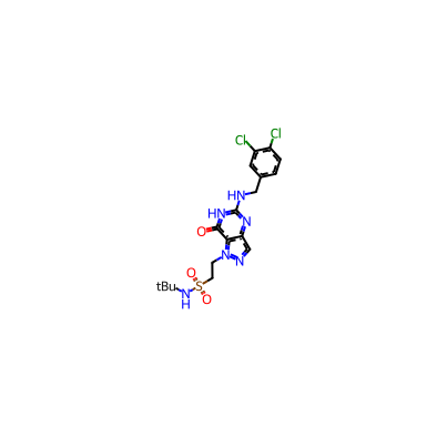 CC(C)(C)NS(=O)(=O)CCn1ncc2nc(NCc3ccc(Cl)c(Cl)c3)[nH]c(=O)c21